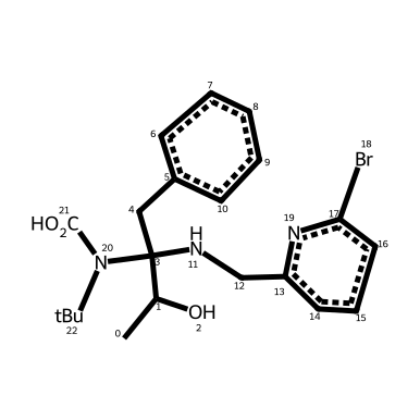 CC(O)C(Cc1ccccc1)(NCc1cccc(Br)n1)N(C(=O)O)C(C)(C)C